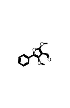 COc1oc(-c2ccccc2)c(OC)c1C=O